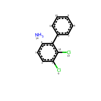 Clc1cccc(-c2ccccc2)c1Cl.N